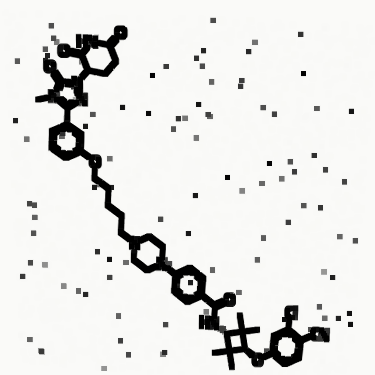 Cn1c(-c2cccc(OCCCCCN3CCN(c4ccc(C(=O)N[C@H]5C(C)(C)[C@H](Oc6ccc(C#N)c(Cl)c6)C5(C)C)cc4)CC3)c2)nn(C2CCC(=O)NC2=O)c1=O